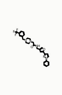 O=C(CN1CCN(Cc2cccc(C(F)(F)F)c2)CC1)NCc1coc(-c2ccn(-c3ccccc3)n2)c1